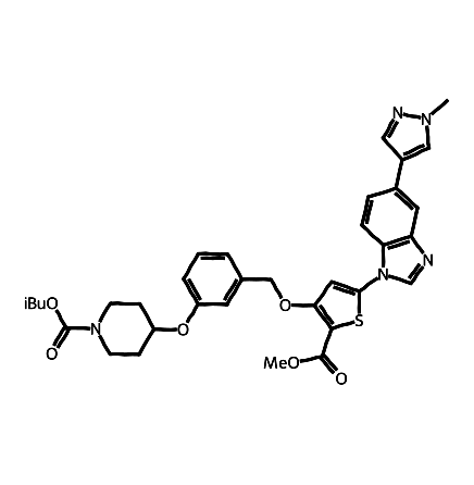 COC(=O)c1sc(-n2cnc3cc(-c4cnn(C)c4)ccc32)cc1OCc1cccc(OC2CCN(C(=O)OCC(C)C)CC2)c1